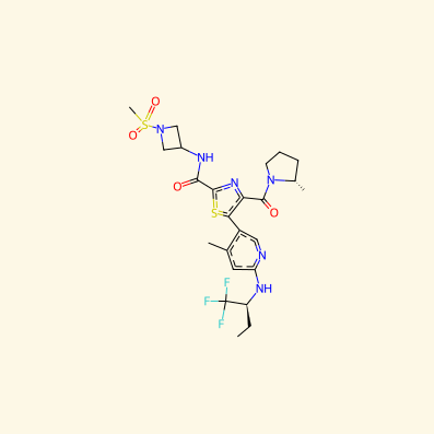 CC[C@H](Nc1cc(C)c(-c2sc(C(=O)NC3CN(S(C)(=O)=O)C3)nc2C(=O)N2CCC[C@@H]2C)cn1)C(F)(F)F